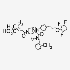 Cc1ccccc1CN(C(=O)C1=C(c2ccc(CCCOc3c(F)ccc(F)c3F)cc2)CC2CN(C(=O)CCC(C)(C)C(=O)O)CC1N2)C1CC1